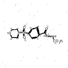 O=C(O)NNC(=O)c1ccc(S(=O)(=O)N2CCOCC2)cc1